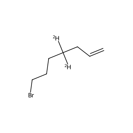 [2H]C([2H])(CC=C)CCCBr